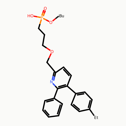 CCc1ccc(-c2ccc(COCCCP(=O)(O)OC(C)CC)nc2-c2ccccc2)cc1